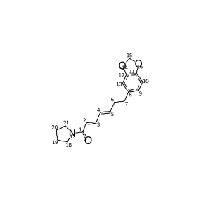 O=C(/C=C/C=C/CCc1ccc2c(c1)OCO2)N1CCCC1